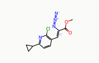 COC(=O)/C(=C/c1ccc(C2CC2)nc1Cl)N=[N+]=[N-]